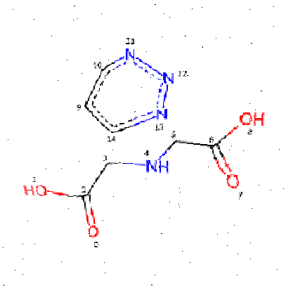 O=C(O)CNCC(=O)O.c1cnnnc1